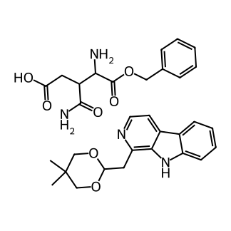 CC1(C)COC(Cc2nccc3c2[nH]c2ccccc23)OC1.NC(=O)C(CC(=O)O)C(N)C(=O)OCc1ccccc1